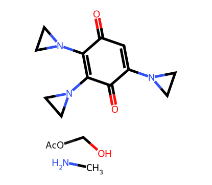 CC(=O)OCO.CN.O=C1C=C(N2CC2)C(=O)C(N2CC2)=C1N1CC1